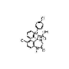 CN1C(=O)CN[C@](c2ccccc2)([C@H](Oc2ccc(Cl)cc2)C(=O)O)c2cc(Cl)ccc21